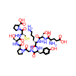 NCCCC[C@H](NC(=O)[C@H](CO)NC(=O)[C@@H](N)CCC(=O)O)C(=O)N[C@@H](Cc1ccc(O)cc1)C(=O)NCC(=O)N1CCC[C@H]1C(=O)N[C@@H](CO)C(=O)N[C@@H](CS)C(=O)N1CCC[C@H]1C(=O)O